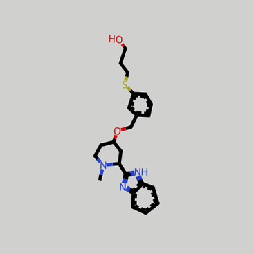 CN1CCC(OCc2cccc(SCCCO)c2)CC1c1nc2ccccc2[nH]1